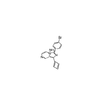 N[N+]12C=CN=CC1=C(C1=CC=C1)N=C2c1ccc(Br)cc1